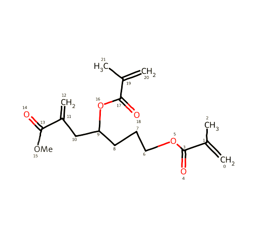 C=C(C)C(=O)OCCCC(CC(=C)C(=O)OC)OC(=O)C(=C)C